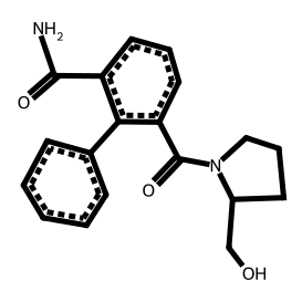 NC(=O)c1cccc(C(=O)N2CCCC2CO)c1-c1ccccc1